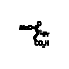 COC(=O)[C@@H](CC(=O)O)C(C)C